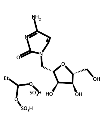 CCC(OS(=O)(=O)O)OS(=O)(=O)O.Nc1ccn(C[C@@H]2O[C@H](CO)[C@@H](O)[C@H]2O)c(=O)n1